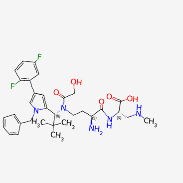 CNC[C@H](NC(=O)[C@@H](N)CCN(C(=O)CO)[C@@H](c1cc(-c2cc(F)ccc2F)cn1Cc1ccccc1)C(C)(C)C)C(=O)O